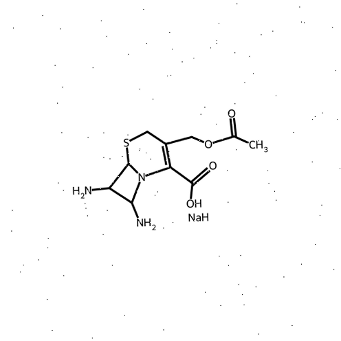 CC(=O)OCC1=C(C(=O)O)N2C(N)C(N)C2SC1.[NaH]